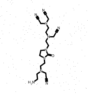 N#CCN(CC#N)CCN(CC#N)CCN1CCN(CCN(CC#N)CCN)C1=O